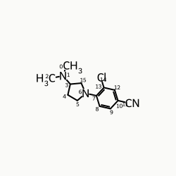 CN(C)C1CCN(c2ccc(C#N)cc2Cl)C1